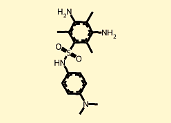 Cc1c(N)c(C)c(S(=O)(=O)Nc2ccc(N(C)C)cc2)c(C)c1N